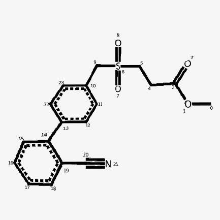 COC(=O)CCS(=O)(=O)Cc1ccc(-c2ccccc2C#N)cc1